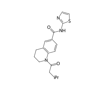 CC(C)CC(=O)N1CCCc2cc(C(=O)Nc3nccs3)ccc21